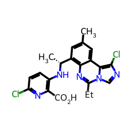 CCc1nc2c([C@@H](C)Nc3ccc(Cl)nc3C(=O)O)cc(C)cc2c2c(Cl)ncn12